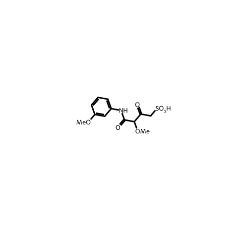 COc1cccc(NC(=O)C(OC)C(=O)CS(=O)(=O)O)c1